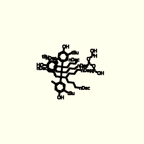 CCCCCCCCCCCCCC(CCCCCCCCCCCCC)C(CCCCCCCCCCCCC)(c1cc(C(C)(C)C)c(O)cc1C)C(CCCCCCCCCCCCC)(CCCCCCCCCCCCC)C(CCCCCCCCCCCCC)(c1cc(C(C)(C)C)c(O)cc1C)c1cc(C(C)(C)C)c(O)cc1C.OPOP(O)OPO